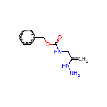 C=C(CNC(=O)OCc1ccccc1)NN